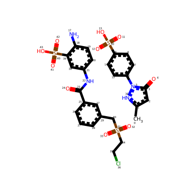 Cc1cc(=O)n(-c2ccc(S(=O)(=O)O)cc2)[nH]1.Nc1ccc(NC(=O)c2cccc(CS(=O)(=O)CCCl)c2)cc1S(=O)(=O)O